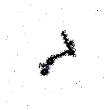 CCCCCCc1cc(-c2sc(C)cc2CCCCCCOc2ccc(/C(C#N)=C/c3ccccc3)cc2)sc1C